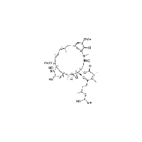 COc1cc2cc(c1Cl)N(C)C(=O)C[C@H](OC(=O)[C@H](C)N(C)C(=O)CCC(C)SC(S)S)[C@]1(C)O[C@H]1[C@H](C)[C@@H]1C[C@@](O)(NC(O)O1)[C@H](OC)/C=C/C=C(\C)C2